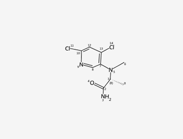 C[C@H](C(N)=O)N(C)c1cnc(Cl)cc1Cl